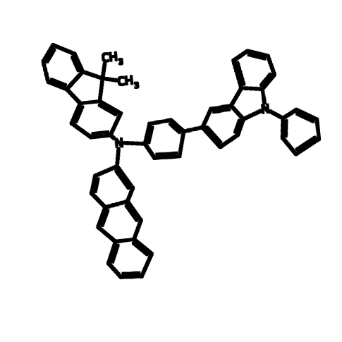 CC1(C)c2ccccc2-c2ccc(N(c3ccc(-c4ccc5c(c4)c4ccccc4n5-c4ccccc4)cc3)c3ccc4cc5ccccc5cc4c3)cc21